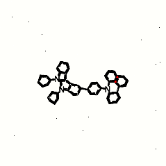 c1ccc(-c2ccccc2N(c2ccccc2)c2ccc(-c3ccc4c(c3)c3c5ccccc5n(-c5ccccc5)c3n4-c3ccccc3)cc2)cc1